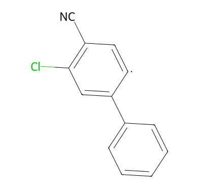 N#Cc1c[c]c(-c2ccccc2)cc1Cl